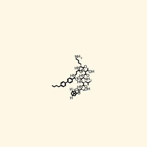 CCCCc1ccc(-c2ccc(C(=O)NCCC(=O)N[C@@H](CCCCN)C(=O)N[C@H](C(=O)N[C@@H](N)C(=O)N[C@@H](CC(C)C)C(=O)N[C@@H](CO)B3OC4C[C@@H]5C[C@@H](C5(C)C)[C@]4(C)O3)C(C)O)cc2)cc1